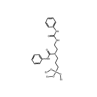 CCO[Si](CCCN(CCNC(=O)Nc1ccccc1)C(=O)Nc1ccccc1)(OCC)OCC